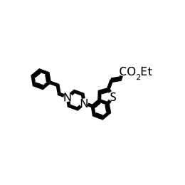 CCOC(=O)/C=C/c1cc2c(N3CCN(CCc4ccccc4)CC3)cccc2s1